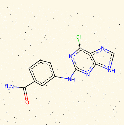 NC(=O)c1cccc(Nc2nc(Cl)c3nc[nH]c3n2)c1